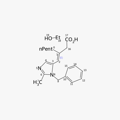 CCCCC/C(=C\c1cnc(C)n1Cc1ccccc1)CC(=O)O.CCO